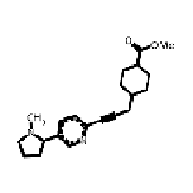 COC(=O)C1CCC(CC#Cc2ccc(C3CCCN3C)cn2)CC1